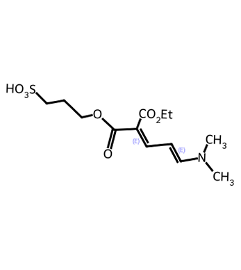 CCOC(=O)/C(=C\C=C\N(C)C)C(=O)OCCCS(=O)(=O)O